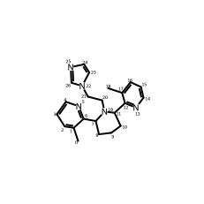 Cc1cccnc1C1CCCC(c2ncccc2C)N1CCn1ccnc1